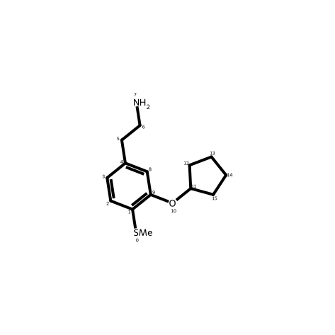 CSc1ccc(CCN)cc1OC1CCCC1